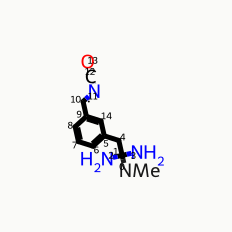 CNC(N)(N)Cc1cccc([CH]N=C=O)c1